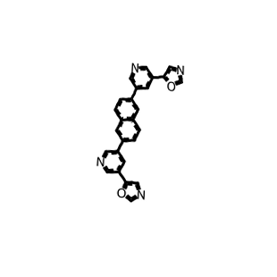 c1ncc(-c2cncc(-c3ccc4cc(-c5cncc(-c6cnco6)c5)ccc4c3)c2)o1